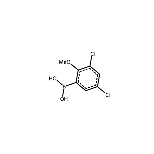 COc1c(Cl)cc(Cl)cc1B(O)O